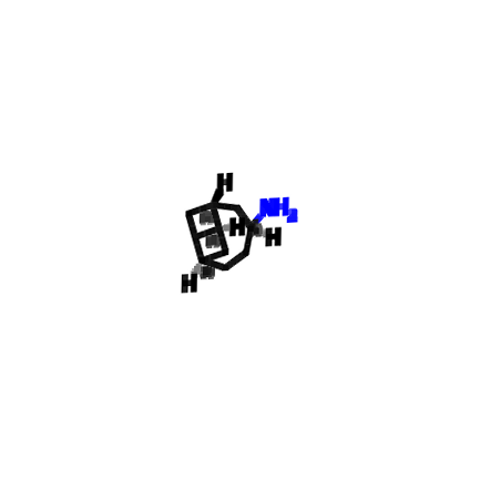 N[C@H]1CC[C@@H]2C[C@H]3C2C[C@@H]3C1